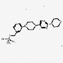 CC(C)(C)[Si](C)(C)OCc1cccc(N2CCN(c3cnc(N4CCOCC4)nc3)CC2)c1